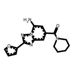 Nc1cc(C(=O)N2CCCCC2)cc2nc(-c3ccco3)nn12